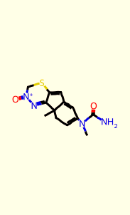 CN(C(N)=O)C1=CCC2(C)C(=C1)C=C1SC[N+](=O)N=C12